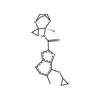 Cc1ccc2cc(C(=O)N[C@@H]3C4CCN(CC4)C34CC4)sc2c1OC1CC1